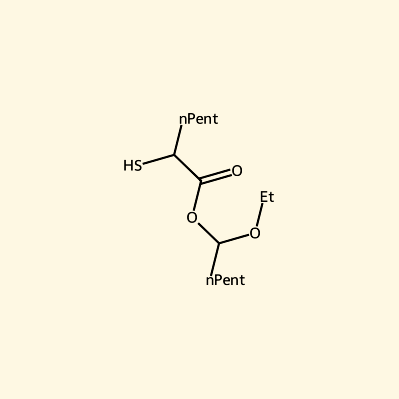 CCCCCC(OCC)OC(=O)C(S)CCCCC